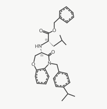 CC(C)C[C@H](N[C@H]1COc2ccccc2N(Cc2ccc(C(C)C)cc2)C1=O)C(=O)OCc1ccccc1